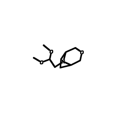 COC(CN1C2CCC1COC2)OC